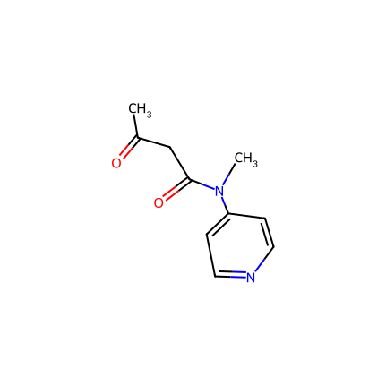 CC(=O)CC(=O)N(C)c1ccncc1